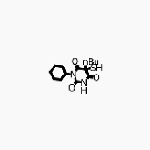 CCCCC1(S)C(=O)NC(=O)N(C2CCCCC2)C1=O